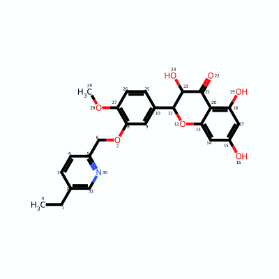 CCc1ccc(COc2cc(C3Oc4cc(O)cc(O)c4C(=O)C3O)ccc2OC)nc1